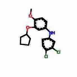 COc1ccc(Nc2ccc(Cl)c(Cl)c2)cc1OC1CCCC1